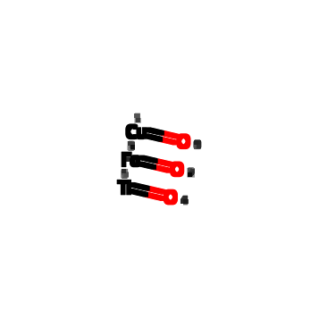 [O]=[Cu].[O]=[Fe].[O]=[Ti]